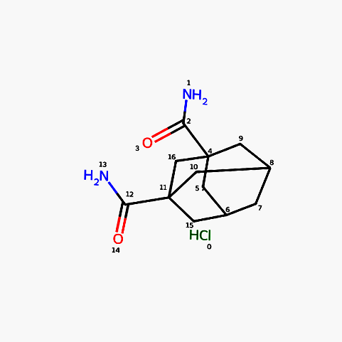 Cl.NC(=O)C12[CH]C3CC(C1)CC(C(N)=O)(C3)C2